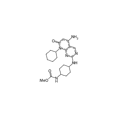 COC(=O)NC1CCC(Nc2ncc3c(N)cc(=O)n(C4CCCCC4)c3n2)CC1